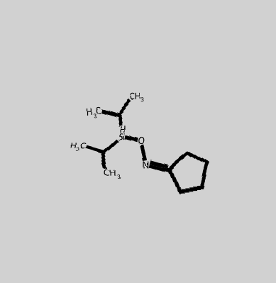 CC(C)[SiH](ON=C1CCCC1)C(C)C